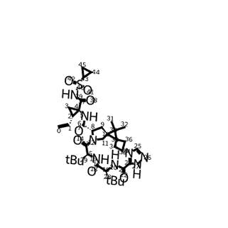 C=C[C@@H]1C[C@]1(NC(=O)[C@@H]1C[C@@]2(CN1C(=O)[C@@H](NC(=O)[C@@H](NC(=O)c1ncn[nH]1)C(C)(C)C)C(C)(C)C)C(C)(C)C21CCC1)C(=O)NS(=O)(=O)C1CC1